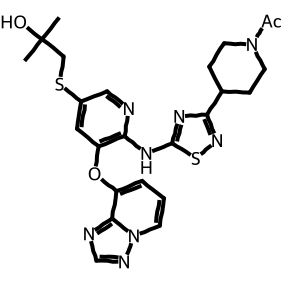 CC(=O)N1CCC(c2nsc(Nc3ncc(SCC(C)(C)O)cc3Oc3cccn4ncnc34)n2)CC1